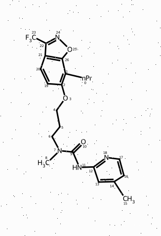 CCCc1c(OCCCN(C)C(=O)Nc2cc(C)ccn2)ccc2c(C(F)(F)F)noc12